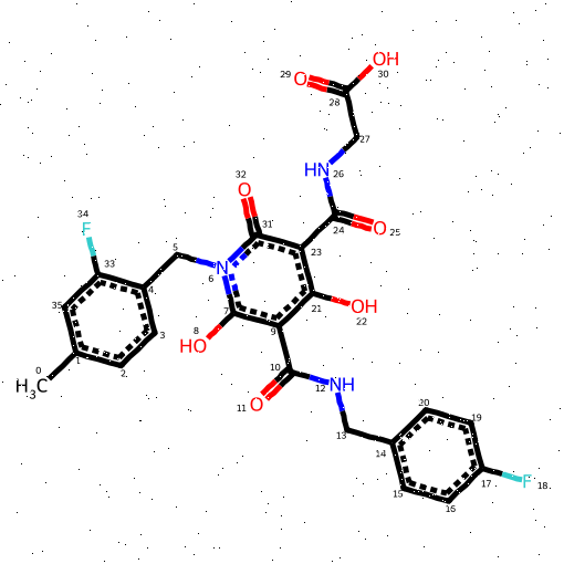 Cc1ccc(Cn2c(O)c(C(=O)NCc3ccc(F)cc3)c(O)c(C(=O)NCC(=O)O)c2=O)c(F)c1